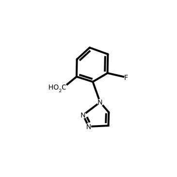 O=C(O)c1cccc(F)c1-n1ccnn1